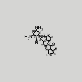 N#Cc1c(N)nc(N)nc1NCCCc1nc2cccc(F)c2c(=O)n1-c1cccc(F)c1